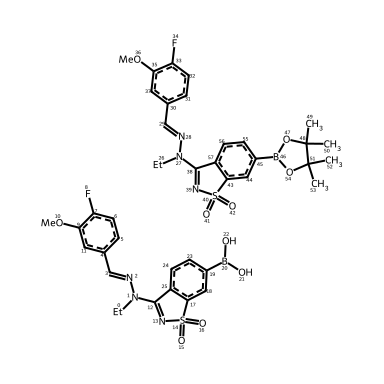 CCN(/N=C/c1ccc(F)c(OC)c1)C1=NS(=O)(=O)c2cc(B(O)O)ccc21.CCN(/N=C/c1ccc(F)c(OC)c1)C1=NS(=O)(=O)c2cc(B3OC(C)(C)C(C)(C)O3)ccc21